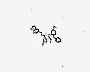 CC(C)c1ccc([C@@H](NC(=O)[C@@H]2C[C@@H](F)CN2C(=O)CCc2cnc3[nH]ccc3c2)c2ccccc2)cc1